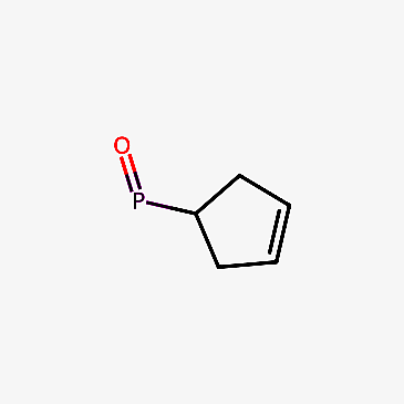 O=PC1CC=CC1